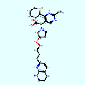 Cc1ncc([C@@H](C(=O)O)N2CC[C@@H](OCCCCc3ccc4c(n3)NCCC4)C2)c(C2CCCCO2)n1